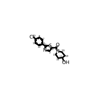 O=C(c1cnc(-c2ccc(Cl)cc2)s1)N1CCC(O)CC1